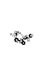 CN(CC(=O)N[C@@H]1CCOC1)c1nc(-c2cc(OCC(C)(C)O)ccn2)nc2c1CCC2